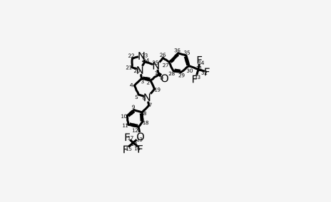 O=C1C2=C(CCN(Cc3cccc(OC(F)(F)F)c3)C2)N2CCN=C2N1Cc1ccc(C(F)(F)F)cc1